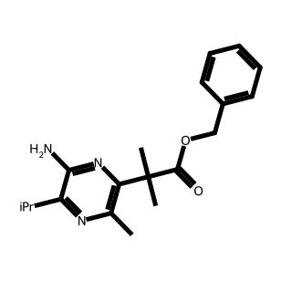 Cc1nc(C(C)C)c(N)nc1C(C)(C)C(=O)OCc1ccccc1